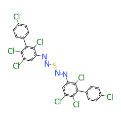 Clc1ccc(-c2c(Cl)c(Cl)cc(N=NSN=Nc3cc(Cl)c(Cl)c(-c4ccc(Cl)cc4)c3Cl)c2Cl)cc1